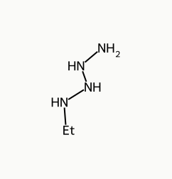 CCNNNN